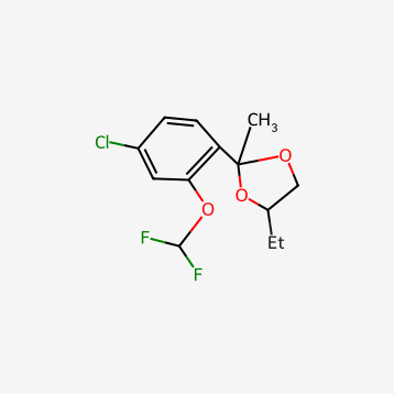 CCC1COC(C)(c2ccc(Cl)cc2OC(F)F)O1